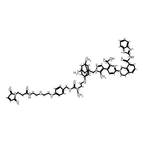 Cc1c(-c2ccc(N3CCc4cccc(C(=O)Nc5nc6ccccc6s5)c4C3)nc2C(=O)O)cnn1CC12CC3(C)CC(C)(C1)CC(OCCN(C)C(=O)OCc1[c]cc(OCCOCCNC(=O)CCN4C(=O)C=CC4=O)cc1)(C3)C2